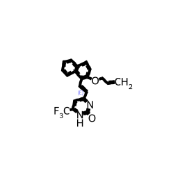 C=CCOc1ccc2ccccc2c1/C=C/c1cc(C(F)(F)F)[nH]c(=O)n1